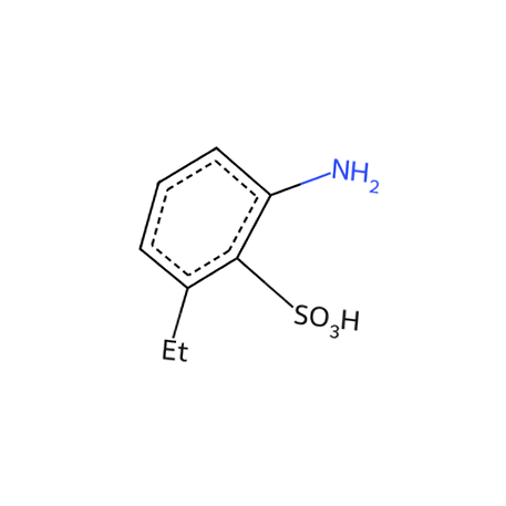 CCc1cccc(N)c1S(=O)(=O)O